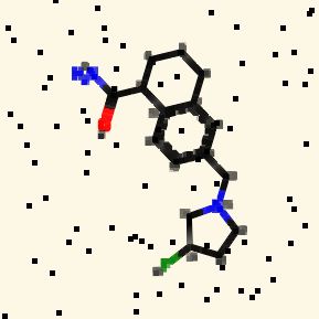 NC(=O)C1[C]CCc2cc(CN3CCC(F)C3)ccc21